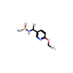 CCC(N[S@+]([O-])C(C)(C)C)c1ccc(OCC(F)(F)F)nc1